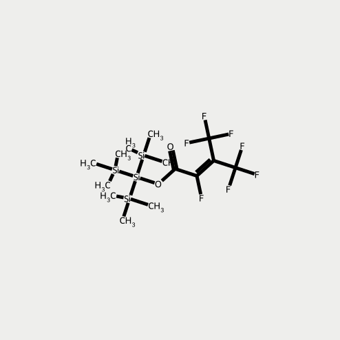 C[Si](C)(C)[Si](OC(=O)C(F)=C(C(F)(F)F)C(F)(F)F)([Si](C)(C)C)[Si](C)(C)C